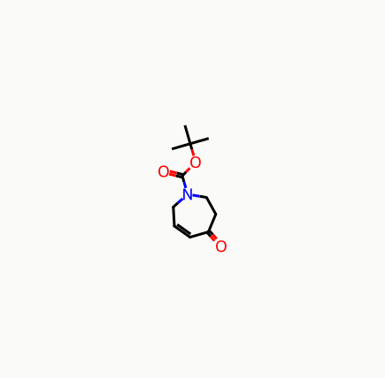 CC(C)(C)OC(=O)N1CC=CC(=O)CC1